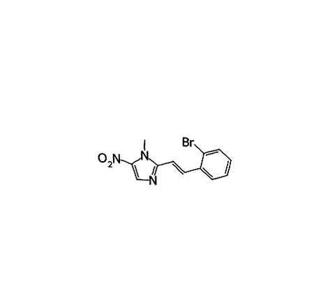 Cn1c([N+](=O)[O-])cnc1/C=C/c1ccccc1Br